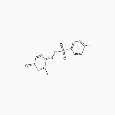 CC1=CC(=O)C=C/C1=N\OS(=O)(=O)c1ccc(C)cc1